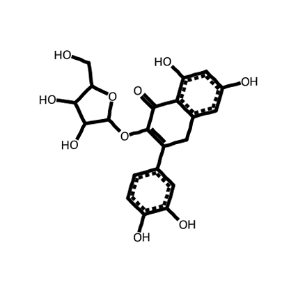 O=C1C(OC2OC(CO)C(O)C2O)=C(c2ccc(O)c(O)c2)Cc2cc(O)cc(O)c21